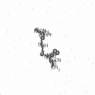 C=CC(=O)N1CCN(c2nc(OC[C@@H]3CCCN3CCCCNC(=O)CCc3ccc(C(CCC)N(C)C(=O)/C(C#N)=C/c4nccs4)cc3)nc3c2CCN(c2cccc4cccc(Cl)c24)C3)C[C@@H]1CC#N